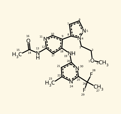 COCCn1nccc1-c1cnc(NC(C)=O)cc1Nc1cc(C)nc(C(C)(F)F)n1